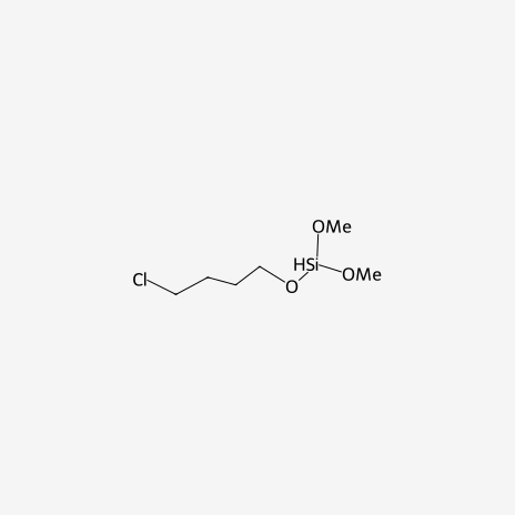 CO[SiH](OC)OCCCCCl